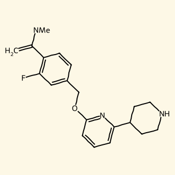 C=C(NC)c1ccc(COc2cccc(C3CCNCC3)n2)cc1F